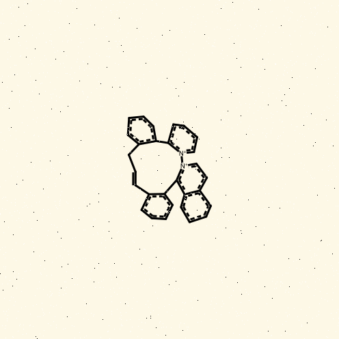 C1=C/c2ccccc2-c2c3ccccc3cc[n+]2-[n+]2ccccc2-c2ccccc2C/1